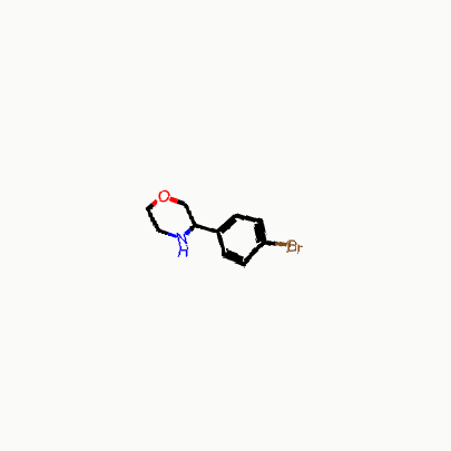 Brc1ccc(C2COCCN2)cc1